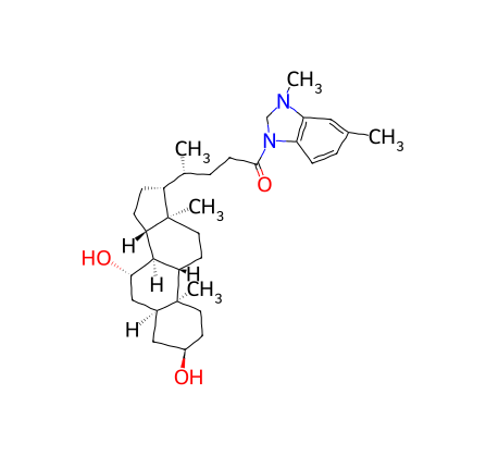 Cc1ccc2c(c1)N(C)CN2C(=O)CC[C@@H](C)[C@H]1CC[C@H]2[C@@H]3[C@@H](O)C[C@@H]4C[C@H](O)CC[C@]4(C)[C@H]3CC[C@]12C